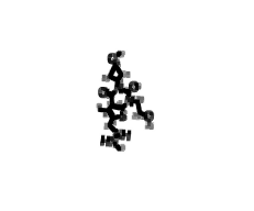 CNNCc1sc2c(c1C)c(=O)n(C1CC(OC)C1)c(=O)n2CCOC